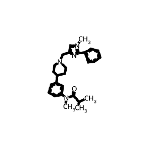 CC(C)C(=O)N(C)c1cccc(C2CCN(Cc3cn(C)c(-c4ccccc4)n3)CC2)c1